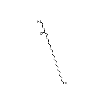 CCCCCCCCCCCCCCCCCCOC(=O)CCCS